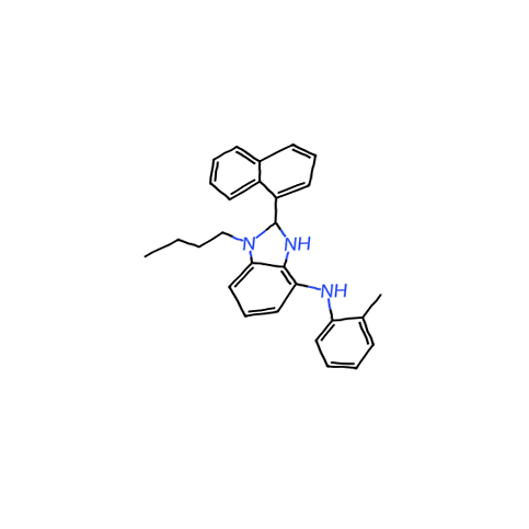 CCCCN1c2cccc(Nc3ccccc3C)c2NC1c1cccc2ccccc12